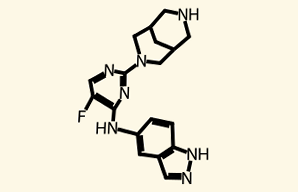 Fc1cnc(N2CC3CNCC(C3)C2)nc1Nc1ccc2[nH]ncc2c1